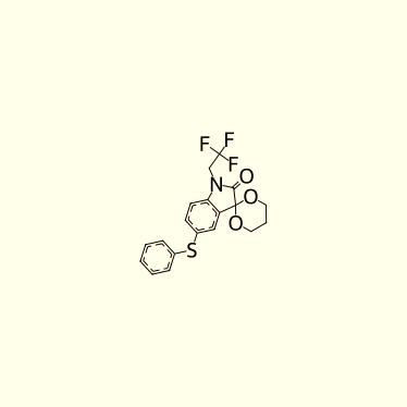 O=C1N(CC(F)(F)F)c2ccc(Sc3ccccc3)cc2C12OCCCO2